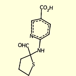 O=CC1(Nc2ccc(C(=O)O)cn2)CCCS1